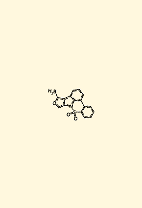 Bc1occ2c1c1cccc3c1n2S(=O)(=O)c1ccccc1-3